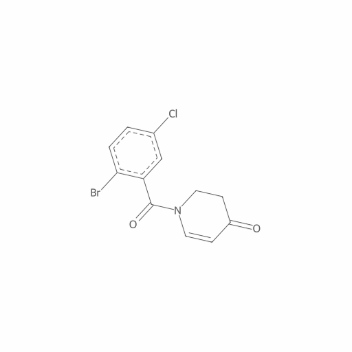 O=C1C=CN(C(=O)c2cc(Cl)ccc2Br)CC1